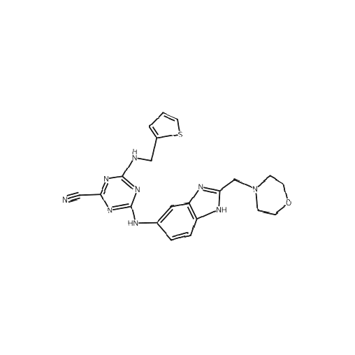 N#Cc1nc(NCc2cccs2)nc(Nc2ccc3[nH]c(CN4CCOCC4)nc3c2)n1